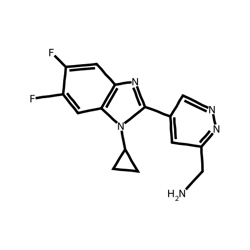 NCc1cc(-c2nc3cc(F)c(F)cc3n2C2CC2)cnn1